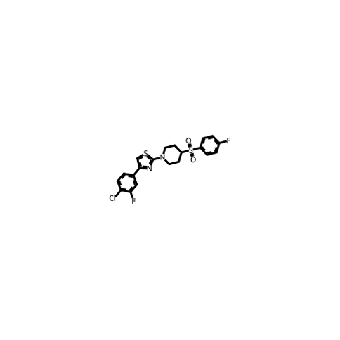 O=S(=O)(c1ccc(F)cc1)C1CCN(c2nc(-c3ccc(Cl)c(F)c3)cs2)CC1